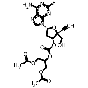 C#C[C@]1(CO)O[C@@H](n2cnc3c(N)nc(F)nc32)C[C@@H]1OC(=O)OC(COC(C)=O)COC(C)=O